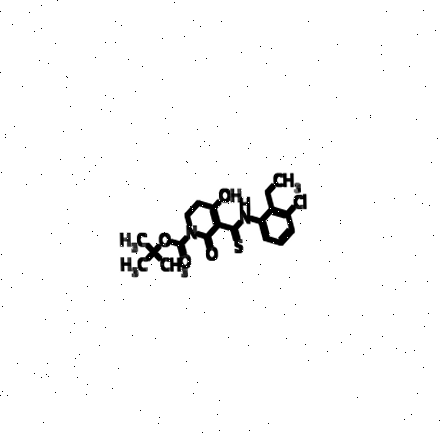 CCc1c(Cl)cccc1NC(=S)C1=C(O)CCN(C(=O)OC(C)(C)C)C1=O